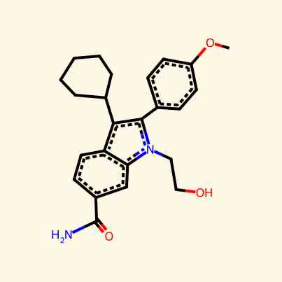 COc1ccc(-c2c(C3CCCCC3)c3ccc(C(N)=O)cc3n2CCO)cc1